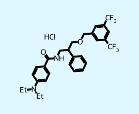 CCN(CC)c1ccc(C(=O)NCC(COCc2cc(C(F)(F)F)cc(C(F)(F)F)c2)c2ccccc2)cc1.Cl